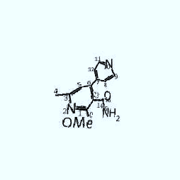 COc1nc(C)cc(-c2ccncc2)c1C(N)=O